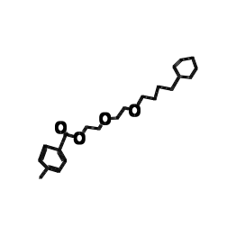 Cc1ccc(C(=O)OCCOCCOCCCCC2CCCCC2)cc1